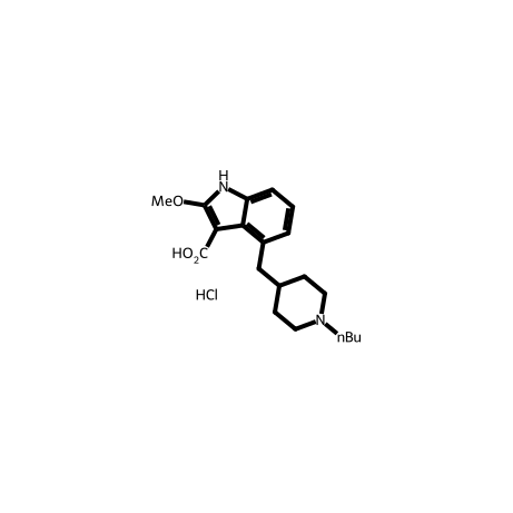 CCCCN1CCC(Cc2cccc3[nH]c(OC)c(C(=O)O)c23)CC1.Cl